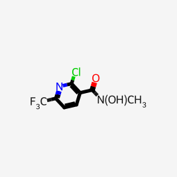 CN(O)C(=O)c1ccc(C(F)(F)F)nc1Cl